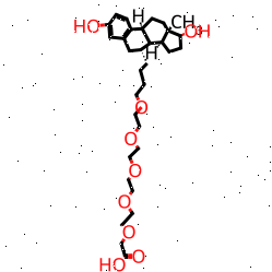 C[C@]12CC[C@@H]3c4ccc(O)cc4C[C@@H](CCCCOCCOCCOCCOCCOCC(=O)O)C3[C@@H]1CC[C@@H]2O